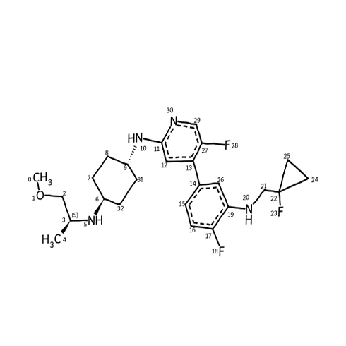 COC[C@H](C)N[C@H]1CC[C@H](Nc2cc(-c3ccc(F)c(NCC4(F)CC4)c3)c(F)cn2)CC1